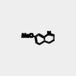 COC1=CCC2CCC=NC2=C1